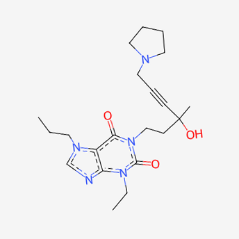 CCCn1cnc2c1c(=O)n(CCC(C)(O)C#CCN1CCCC1)c(=O)n2CC